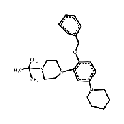 CC(C)(C)N1CCN(c2cc(N3CCCCC3)ccc2OCc2ccccc2)CC1